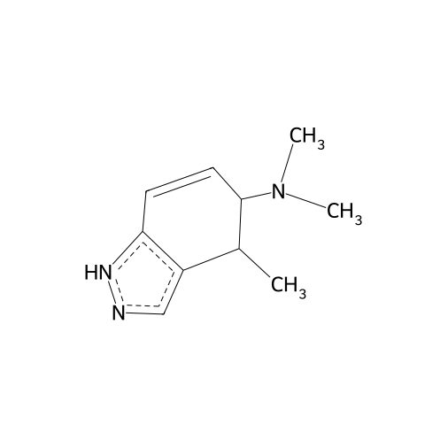 CC1c2cn[nH]c2C=CC1N(C)C